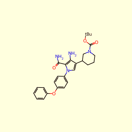 CC(C)(C)OC(=O)N1CCCC(c2cn(-c3ccc(Oc4ccccc4)cc3)c(C(N)=O)c2N)C1